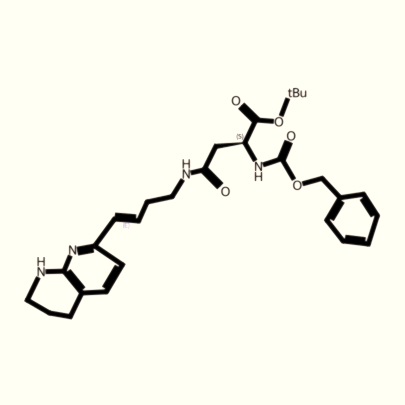 CC(C)(C)OC(=O)[C@H](CC(=O)NCC/C=C/c1ccc2c(n1)NCCC2)NC(=O)OCc1ccccc1